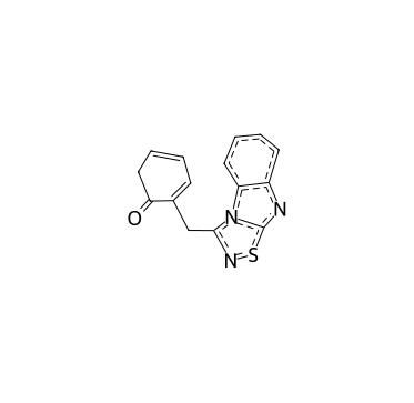 O=C1CC=CC=C1Cc1nsc2nc3ccccc3n12